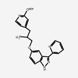 COc1cc(CC(N)COc2ccc3[nH]nc(-c4ccccn4)c3c2)ccn1